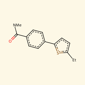 CCc1ccc(-c2ccc(C(=O)NC)cc2)s1